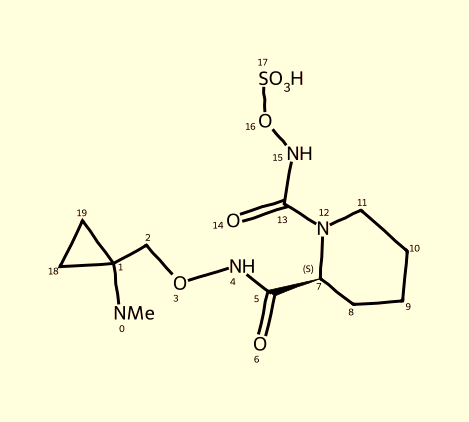 CNC1(CONC(=O)[C@@H]2CCCCN2C(=O)NOS(=O)(=O)O)CC1